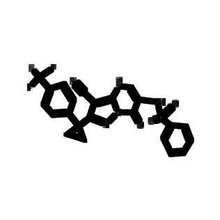 N#Cc1c(C2(c3ccc(C(F)(F)F)cc3)CC2)nn2c(=O)c(NS(=O)(=O)c3ccccc3)c[nH]c12